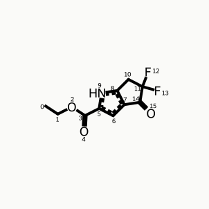 CCOC(=O)c1cc2c([nH]1)CC(F)(F)C2=O